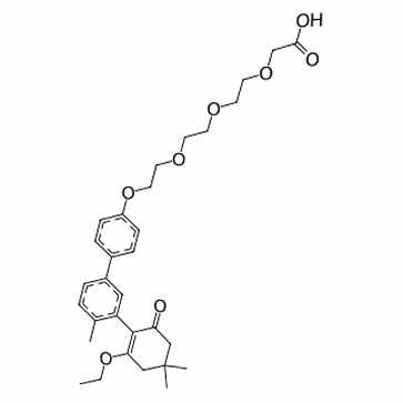 CCOC1=C(c2cc(-c3ccc(OCCOCCOCCOCC(=O)O)cc3)ccc2C)C(=O)CC(C)(C)C1